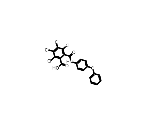 O=C(O)c1c(Cl)c(Cl)c(Cl)c(Cl)c1C(=O)Nc1ccc(Oc2ccccc2)cc1